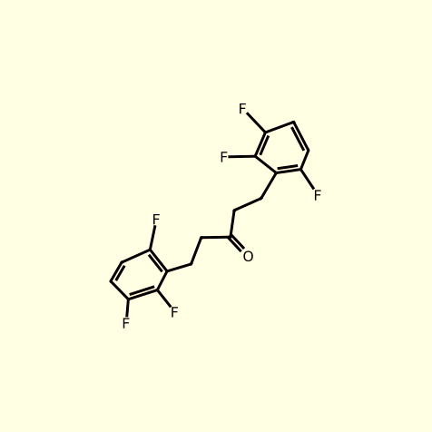 O=C(CCc1c(F)ccc(F)c1F)CCc1c(F)ccc(F)c1F